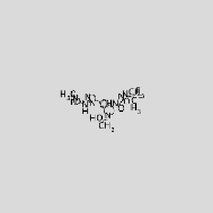 CC(O)CN1CC[C@H](NC(=O)c2nnc(C(C)(C)C(F)F)o2)c2ccc(-c3ccnc(Nc4cnn(C)c4)n3)cc2C1